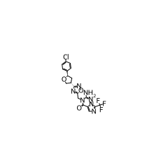 Nc1nn2c(C(F)(F)F)ncc2c(=O)n1Cc1nc([C@@H]2CO[C@@H](c3ccc(Cl)cc3)C2)no1